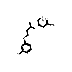 CC(CCOc1cccc(Cl)c1)C[C@H](CN)CC(=O)O